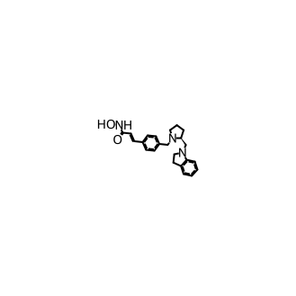 O=C(/C=C/c1ccc(CN2CCC[C@H]2CN2CCc3ccccc32)cc1)NO